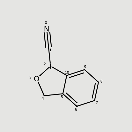 N#CI1OCc2ccccc21